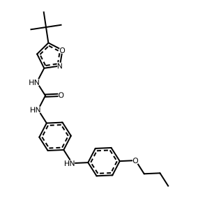 CCCOc1ccc(Nc2ccc(NC(=O)Nc3cc(C(C)(C)C)on3)cc2)cc1